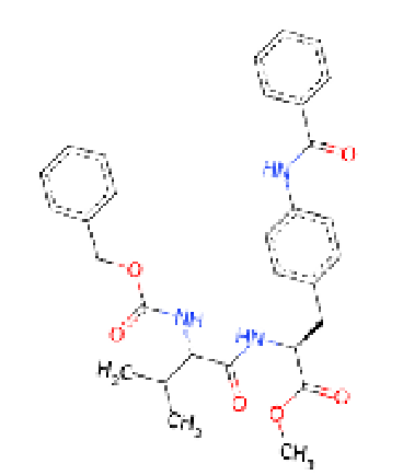 COC(=O)[C@H](Cc1ccc(NC(=O)c2ccccc2)cc1)NC(=O)[C@@H](NC(=O)OCc1ccccc1)C(C)C